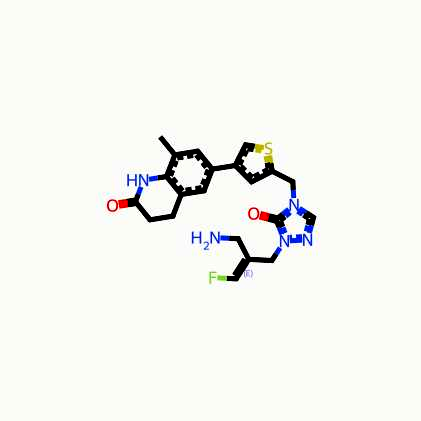 Cc1cc(-c2csc(Cn3cnn(C/C(=C/F)CN)c3=O)c2)cc2c1NC(=O)CC2